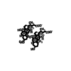 C[C@H](CCC(=O)[O-])[C@H]1CC[C@H]2[C@@H]3[C@H](O)C[C@@H]4C[C@H](O)CC[C@]4(C)[C@H]3C[C@H](O)[C@]12C.C[C@H](CCC(=O)[O-])[C@H]1CC[C@H]2[C@@H]3[C@H](O)C[C@@H]4C[C@H](O)CC[C@]4(C)[C@H]3C[C@H](O)[C@]12C.[Cu+2]